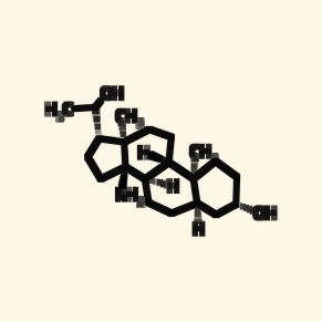 CC(O)[C@H]1CC[C@@]2(N)[C@@H]3CC[C@@H]4C[C@@H](O)CC[C@]4(C)[C@H]3CC[C@]12C